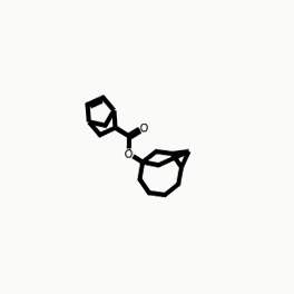 O=C(OC12CCCCC3C(C1)C3C2)C1CC2C=CC1C2